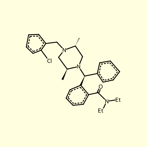 CCN(CC)C(=O)c1ccccc1[C@H](c1ccccc1)N1C[C@@H](C)N(Cc2ccccc2Cl)C[C@@H]1C